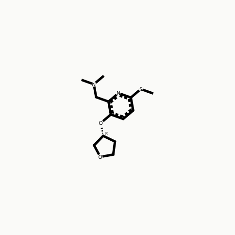 CSc1ccc(O[C@@H]2CCOC2)c(CN(C)C)n1